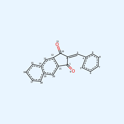 O=C1C(=Cc2ccccc2)C(=O)c2cc3ccccc3cc21